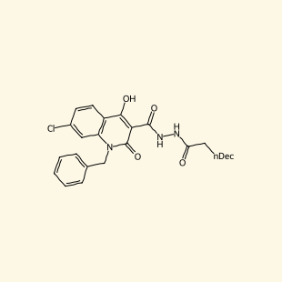 CCCCCCCCCCCC(=O)NNC(=O)c1c(O)c2ccc(Cl)cc2n(Cc2ccccc2)c1=O